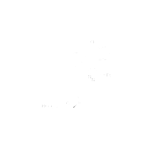 CCc1c(-c2cccc(Cl)c2)c(-c2ccccc2)nn1C[C@H]1CC[C@H](COCC(=O)O)CC1